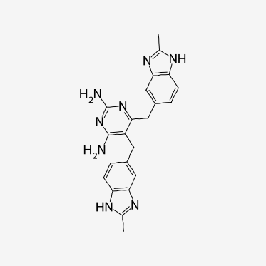 Cc1nc2cc(Cc3nc(N)nc(N)c3Cc3ccc4[nH]c(C)nc4c3)ccc2[nH]1